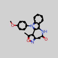 COc1ccc(-n2c(-c3c(C)noc3C)c(NC(C)=O)c3ccccc32)cc1